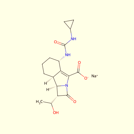 CC(O)[C@H]1C(=O)N2C(C(=O)[O-])=C3[C@@H](NC(=O)NC4CC4)CCC[C@@H]3[C@H]12.[Na+]